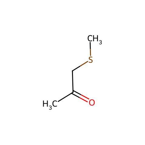 CSCC(C)=O